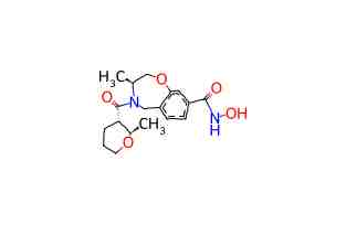 C[C@H]1OCCC[C@@H]1C(=O)N1Cc2ccc(C(=O)NO)cc2OC[C@@H]1C